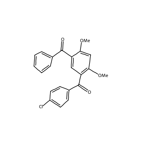 COc1cc(OC)c(C(=O)c2ccc(Cl)cc2)cc1C(=O)c1ccccc1